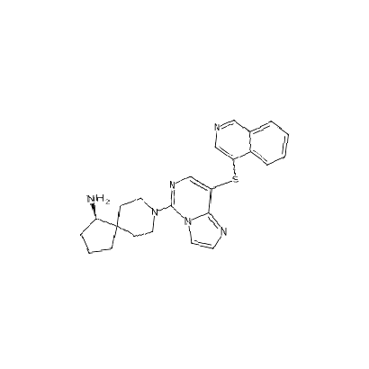 N[C@@H]1CCCC12CCN(c1ncc(Sc3cncc4ccccc34)c3nccn13)CC2